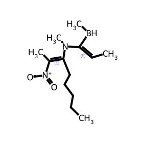 CB/C(=C\C)N(C)/C(CCCCC)=C(\C)[N+](=O)[O-]